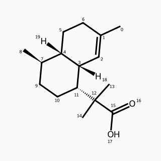 CC1=C[C@H]2[C@@H](CC1)[C@H](C)CC[C@H]2C(C)(C)C(=O)O